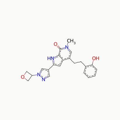 Cn1cc(CCc2ccccc2O)c2cc(-c3cnn(C4COC4)c3)[nH]c2c1=O